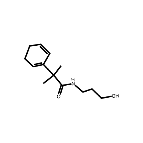 CC(C)(C(=O)NCCCO)C1=CC[CH]C=C1